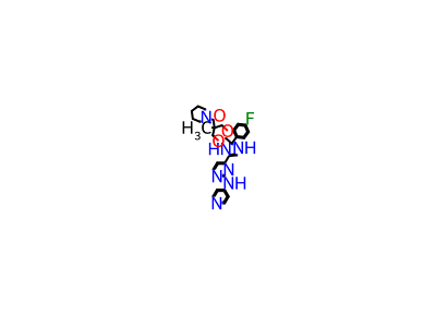 CC1(C(=O)N2CCCCC2)COC(C2(c3ccc(F)cc3)NC=C(c3ccnc(Nc4ccncc4)n3)N2)OC1